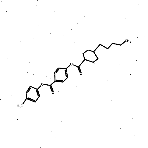 CCCCCC1CCC(C(=O)Oc2ccc(C(=O)Oc3ccc(C)cc3)cc2)CC1